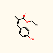 CCC(C)COC(=O)C(C)=Cc1ccc(O)cc1